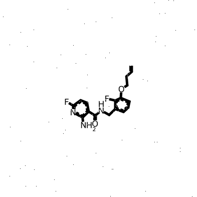 C=CCCOc1cccc(CNC(=O)c2ccc(F)nc2N)c1F